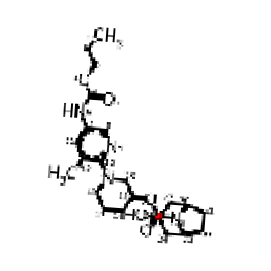 CCCOC(=O)Nc1cnc(N2CCCC(OC(=O)N3C4CCC3CC(O)C4)C2)c(C)c1